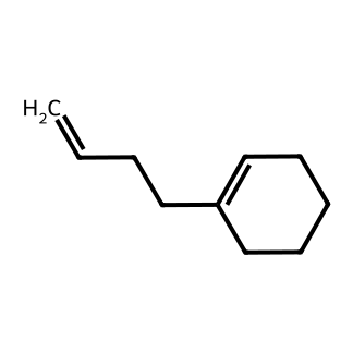 C=CCCC1=CCCCC1